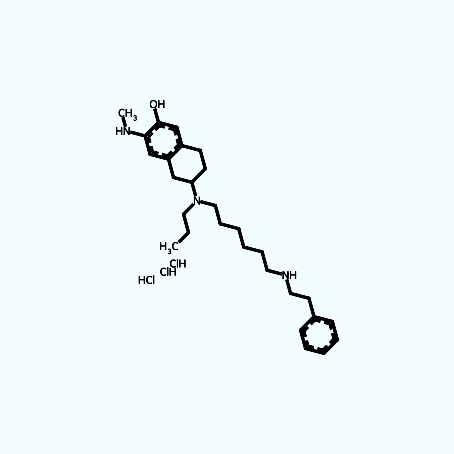 CCCN(CCCCCCNCCc1ccccc1)C1CCc2cc(O)c(NC)cc2C1.Cl.Cl.Cl